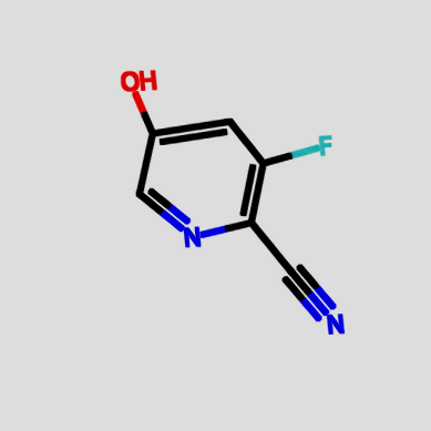 N#Cc1ncc(O)cc1F